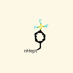 CCCCCCCCc1ccc(S(F)(F)F)cc1